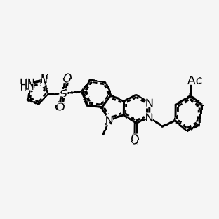 CC(=O)c1cccc(Cn2ncc3c4ccc(S(=O)(=O)c5cc[nH]n5)cc4n(C)c3c2=O)c1